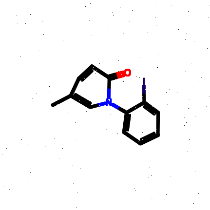 Cc1ccc(=O)n(-c2ccccc2I)c1